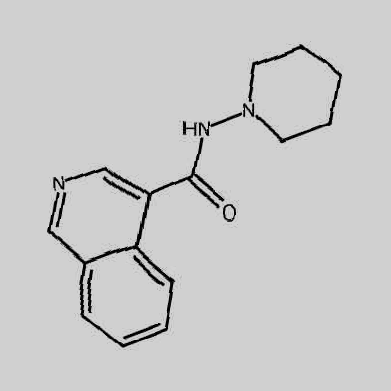 O=C(NN1CCCCC1)c1cncc2ccccc12